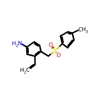 C=Cc1cc(N)ccc1CS(=O)(=O)c1ccc(C)cc1